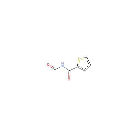 O=CNC(=O)c1cccs1